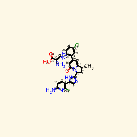 C[C@@H]1CC(c2ncc(-c3ccc(N)nc3F)[nH]2)n2c1cc(-c1cc(Cl)ccc1N/C=C(\N)C(=O)O)cc2=O